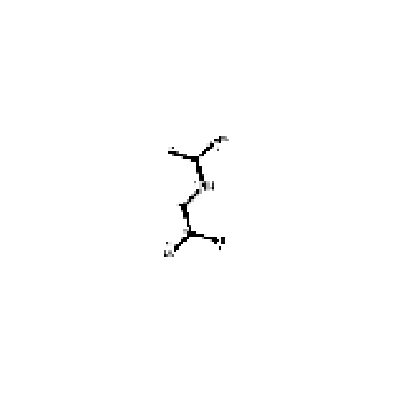 CCC[C@H](C)NCC(CC)CC